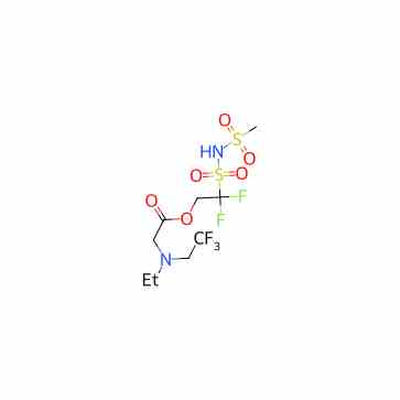 CCN(CC(=O)OCC(F)(F)S(=O)(=O)NS(C)(=O)=O)CC(F)(F)F